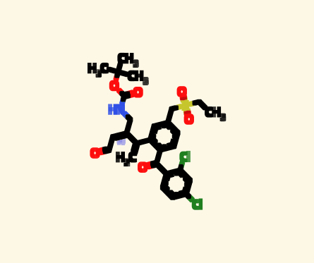 C=C(/C(=C\C=O)CNC(=O)OC(C)(C)C)c1cc(CS(=O)(=O)CC)ccc1C(=O)c1ccc(Cl)cc1Cl